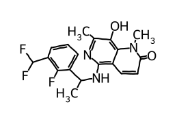 Cc1nc(NC(C)c2cccc(C(F)F)c2F)c2ccc(=O)n(C)c2c1O